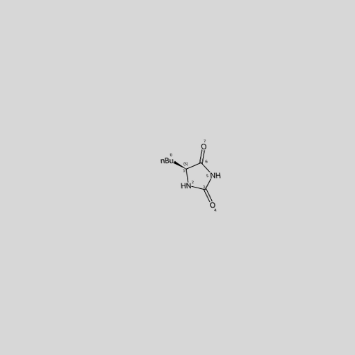 CCCC[C@@H]1NC(=O)NC1=O